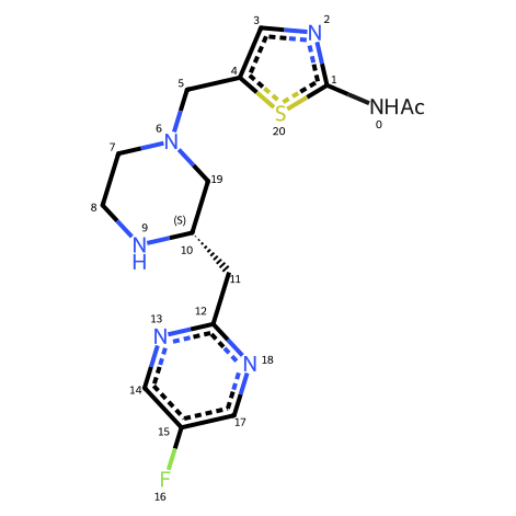 CC(=O)Nc1ncc(CN2CCN[C@@H](Cc3ncc(F)cn3)C2)s1